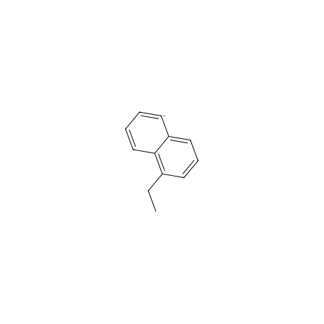 CCc1cccc2[c]cccc12